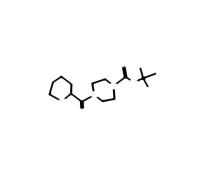 CC(C)(C)OC(=O)N1CCN(C(=O)C2CCCCN2)CC1